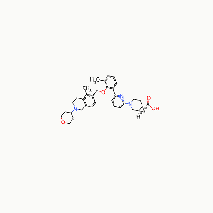 Cc1cccc(-c2cccc(N3CC[C@@]4(C(=O)O)C[C@H]4C3)n2)c1OCc1ccc2c(c1C)CCN(C1CCOCC1)C2